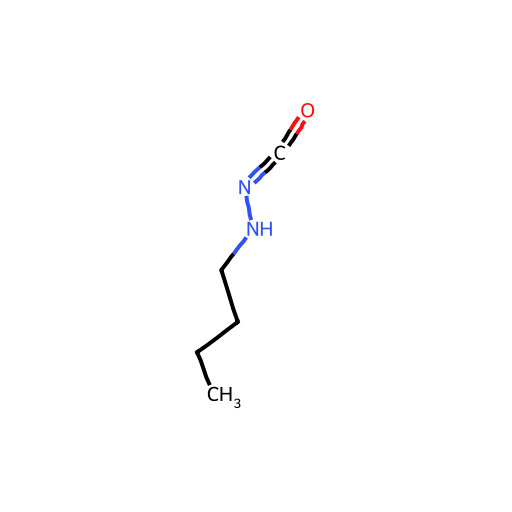 CCCCNN=C=O